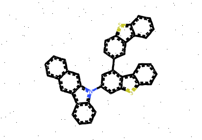 c1ccc2cc3c(cc2c1)c1ccccc1n3-c1cc(-c2ccc3sc4ccccc4c3c2)c2c(c1)sc1ccccc12